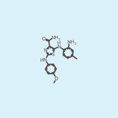 COc1ccc(Nc2nc(C(N)=O)c(Nc3ccc(C)cc3N)s2)cc1